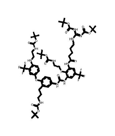 CC(C)(C)OC(=O)N=C(NCCCCC(=O)Nc1cc(C(F)(F)F)cc(NC(=O)Nc2ccc(Oc3ccc(NCCNC(=O)OC(C)(C)C)c(C(F)(F)F)c3)c(CCCNC(=O)OC(C)(C)C)c2)c1SCCNC(=O)OC(C)(C)C)NC(=O)OC(C)(C)C